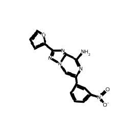 Nc1nc(-c2cccc([N+](=O)[O-])c2)cn2nc(-c3ccco3)nc12